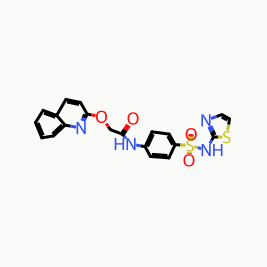 O=C(COc1ccc2ccccc2n1)Nc1ccc(S(=O)(=O)Nc2nccs2)cc1